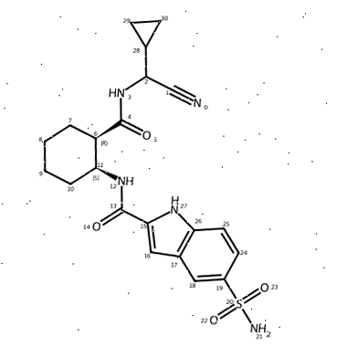 N#CC(NC(=O)[C@@H]1CCCC[C@@H]1NC(=O)c1cc2cc(S(N)(=O)=O)ccc2[nH]1)C1CC1